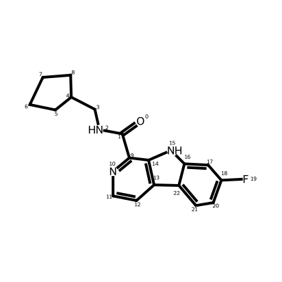 O=C(NCC1CCCC1)c1nccc2c1[nH]c1cc(F)ccc12